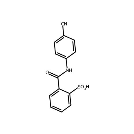 N#Cc1ccc(NC(=O)c2ccccc2S(=O)(=O)O)cc1